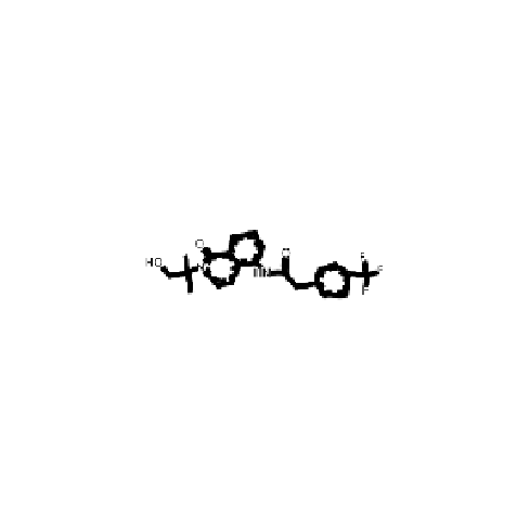 CC(C)(CO)n1ccc2c(NC(=O)Cc3ccc(C(F)(F)F)cc3)cccc2c1=O